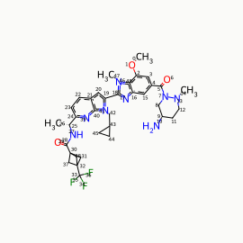 COc1cc(C(=O)N2C[C@H](N)CCN2C)cc2nc(-c3cc4ccc([C@@H](C)NC(=O)C56CC(C(F)(F)F)(C5)C6)nc4n3CC3CC3)n(C)c12